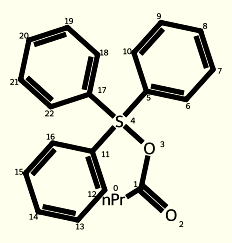 CCCC(=O)OS(c1ccccc1)(c1ccccc1)c1ccccc1